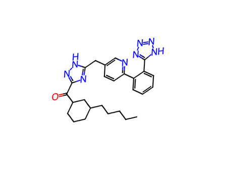 CCCCCC1CCCC(C(=O)c2n[nH]c(Cc3ccc(-c4ccccc4-c4nnn[nH]4)nc3)n2)C1